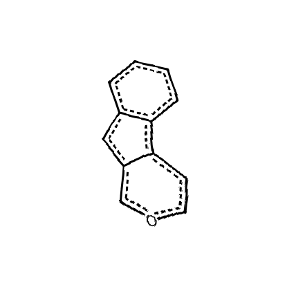 c1ccc2c3ccocc-3cc2c1